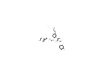 Cc1cnc(C(=O)NCCCNc2nc(Nc3ccc(F)c(I)c3)ncc2-c2cccc(/C=C/C(=O)O)c2)cn1